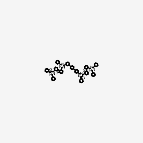 c1ccc(-c2nc(-c3ccccc3)nc(-c3cccc4sc5c(-c6nc(-c7ccc(-c8ccc(-c9cccc(-c%10nc(-c%11ccccc%11)nc(-c%11cccc%12sc%13c(-c%14nc(-c%15ccccc%15)nc%15c%14oc%14ccccc%14%15)cccc%13c%11%12)n%10)c9)cc8)cc7)nc7c6oc6ccccc67)cccc5c34)n2)cc1